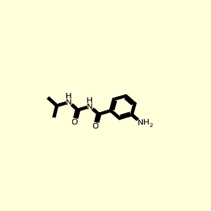 CC(C)NC(=O)NC(=O)c1cccc(N)c1